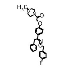 CN1CCN(C(=O)COc2ccc(/C(Cc3ccccc3)=N/OCc3ccc(F)cc3)cc2)CC1